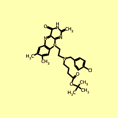 C=c1nc2c(c(=O)[nH]1)=Nc1cc(C)c(C)cc1N2CCN(CCCC(=O)OC(C)(C)C)Cc1ccc(Cl)cc1